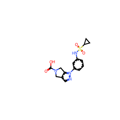 O=C(O)N1Cc2cnn(-c3cccc(NS(=O)(=O)C4CC4)c3)c2C1